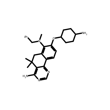 CC(C)CN(C)c1c(OC2CCC(N)CC2)ccc2c1CC(C)(C)c1c(N)ncnc1-2